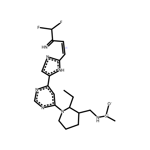 CCC1C(CN[S+](C)[O-])CCCN1c1cc(-c2cnc(/C=C\C(=N)C(F)F)[nH]2)ncn1